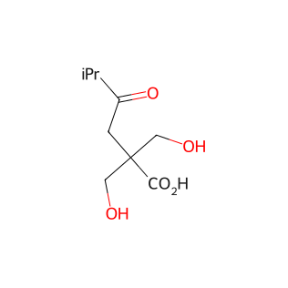 CC(C)C(=O)CC(CO)(CO)C(=O)O